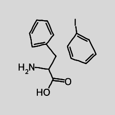 Ic1ccccc1.NC(Cc1ccccc1)C(=O)O